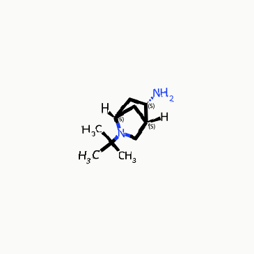 CC(C)(C)N1C[C@@H]2C[C@H]1C[C@@H]2N